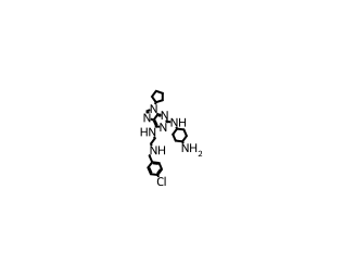 NC1CCC(Nc2nc(NCCNCc3ccc(Cl)cc3)c3ncn(C4CCCC4)c3n2)CC1